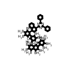 Bc1c(B)c(-c2ccc(-c3nc(-c4ccccc4)nc(-c4ccccc4)n3)c3ccccc23)c2c(oc3c(B)c(-n4c5c(B)c(B)c(B)c(B)c5c5c(B)c(B)c6c(B)c(B)c(B)c(B)c6c54)c(B)c(B)c32)c1B